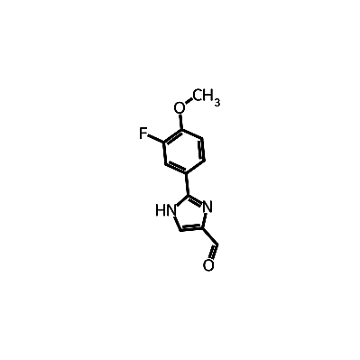 COc1ccc(-c2nc(C=O)c[nH]2)cc1F